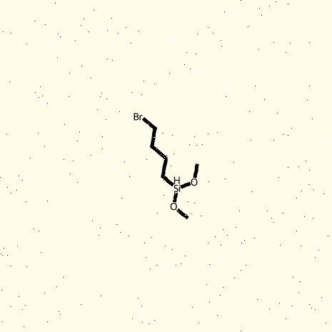 CO[SiH](CCCCBr)OC